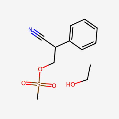 CCO.CS(=O)(=O)OCC(C#N)c1ccccc1